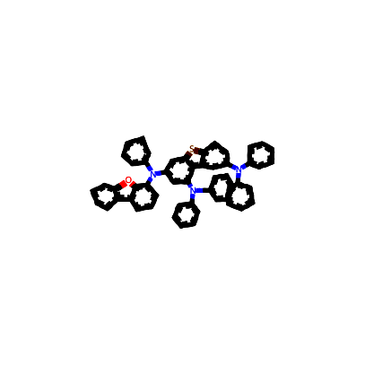 c1ccc(N(c2ccccc2)c2ccc3sc4cc(N(c5ccccc5)c5cccc6c5oc5ccccc56)cc(N(c5ccccc5)c5ccccc5)c4c3c2)cc1